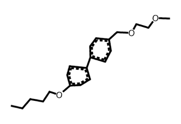 CCCCCOc1ccc(-c2ccc(COCCOC)cc2)cc1